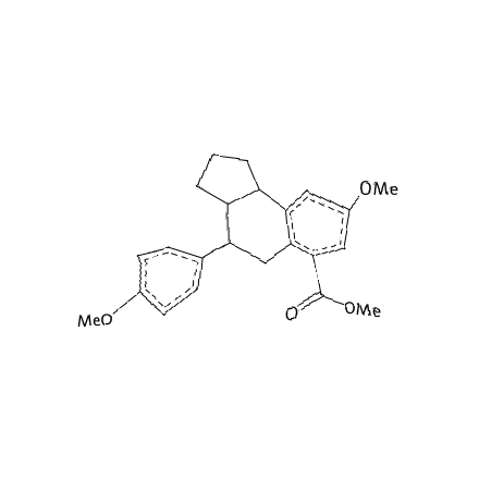 COC(=O)c1cc(OC)cc2c1CC(c1ccc(OC)cc1)C1CCCC21